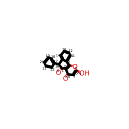 O=C1c2c(oc(O)cc2=O)-c2ccccc2C1c1ccccc1